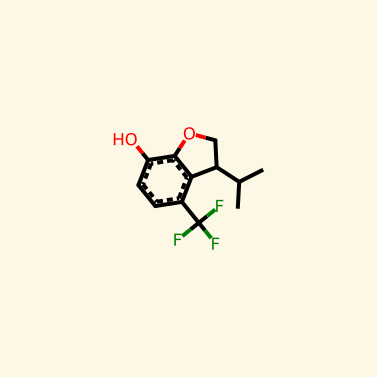 CC(C)C1COc2c(O)ccc(C(F)(F)F)c21